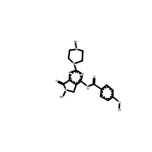 CCOc1ccc(C(=O)Nc2nc(N3CCN(C(C)=O)CC3)nc3c2CN(C(C)C)C3=O)cc1